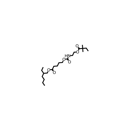 CCCCC(CC)COC(=O)CCCCOC(=O)NCCOC(=O)C(C)(C)CC